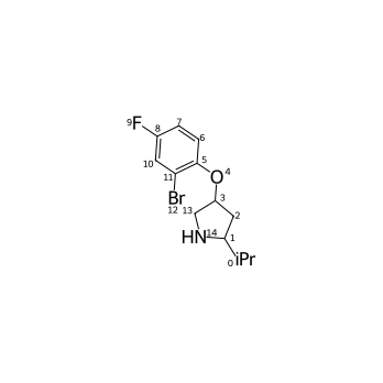 CC(C)C1CC(Oc2ccc(F)cc2Br)CN1